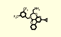 NCC1CN(Cc2cc(C(F)(F)F)cc(C(F)(F)F)c2)C(=O)c2c(-c3ccccc3)cc(C3CC3)nc2O1